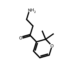 CC1(C)OC=CC=C1C(=O)CCN